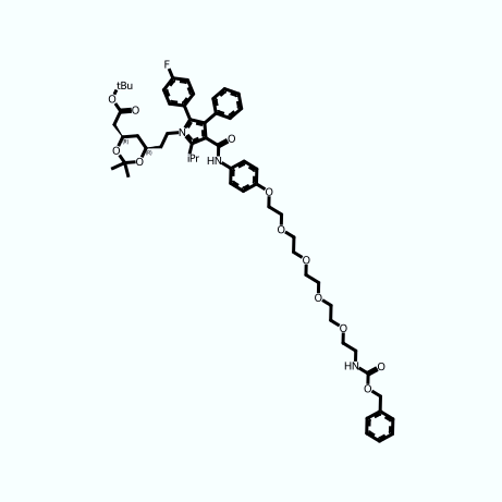 CC(C)c1c(C(=O)Nc2ccc(OCCOCCOCCOCCOCCNC(=O)OCc3ccccc3)cc2)c(-c2ccccc2)c(-c2ccc(F)cc2)n1CC[C@@H]1C[C@H](CC(=O)OC(C)(C)C)OC(C)(C)O1